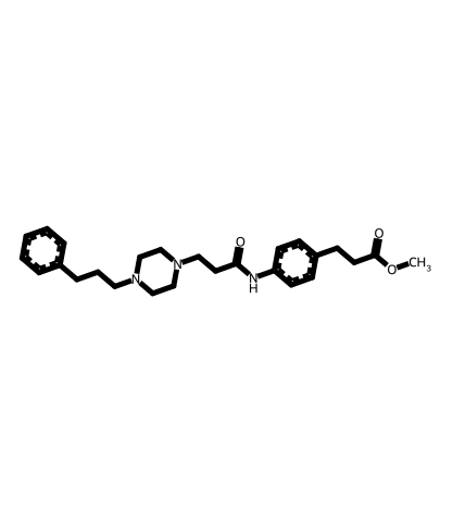 COC(=O)CCc1ccc(NC(=O)CCN2CCN(CCCc3ccccc3)CC2)cc1